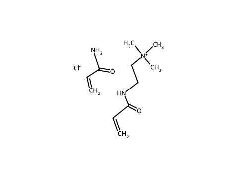 C=CC(=O)NCC[N+](C)(C)C.C=CC(N)=O.[Cl-]